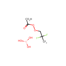 O=C(O)C(=O)OOCC(F)(F)C(F)(F)F.OB(O)O